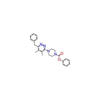 Cc1c(Cc2ccccc2)nnc(N2CCN(C(=O)Oc3ccccc3)CC2)c1C